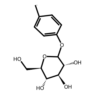 [CH2]c1ccc(OC2O[C@H](CO)[C@@H](O)[C@H](O)[C@H]2O)cc1